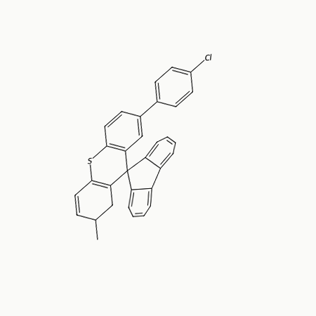 CC1C=CC2=C(C1)C1(c3cc(-c4ccc(Cl)cc4)ccc3S2)c2ccccc2-c2ccccc21